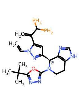 C=Cn1nc([C@H]2c3nc[nH]c3CCN2c2nnc(C(C)(C)C)o2)cc1C(=C)C(P)P